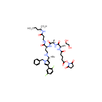 CC(C)[C@@H](NC(=O)CCCC(=O)ON1C(=O)CCC1=O)C(=O)N[C@H](C)C(=O)N[C@@H](CCN[C@@H](c1cc(-c2cc(F)ccc2F)cn1Cc1ccccc1)C(C)(C)C)C(=O)NCCC(=O)N[C@H](CCC(=O)O)C(=O)O.OCCO